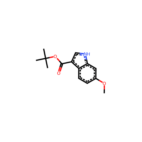 COc1ccc2c(C(=O)OC(C)(C)C)c[nH]c2c1